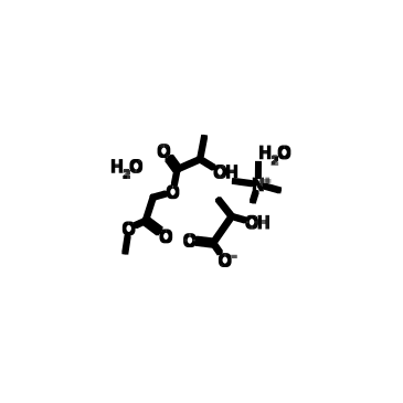 CC(O)C(=O)[O-].COC(=O)COC(=O)C(C)O.C[N+](C)(C)C.O.O